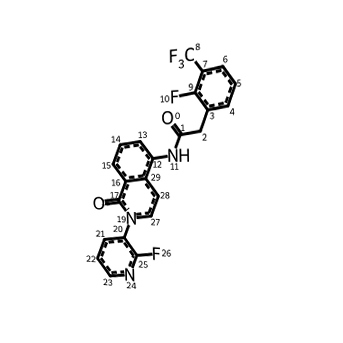 O=C(Cc1cccc(C(F)(F)F)c1F)Nc1cccc2c(=O)n(-c3cccnc3F)ccc12